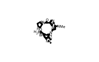 BC1(B)O[C@H]2CCC[C@H]2NC(=O)c2cnn3c(NC)cc(nc23)Nc2cc1cc1nn(C)nc21